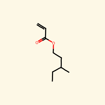 C=CC(=O)OCC[C](C)CC